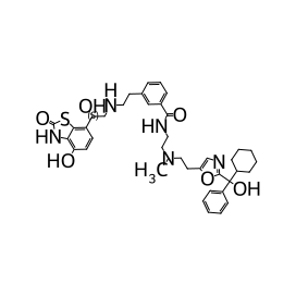 CN(CCNC(=O)c1cccc(CCNC[C@@H](O)c2ccc(O)c3[nH]c(=O)sc23)c1)CCc1cnc(C(O)(c2ccccc2)C2CCCCC2)o1